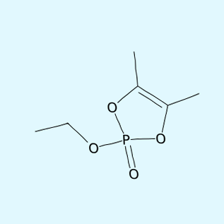 CCOP1(=O)OC(C)=C(C)O1